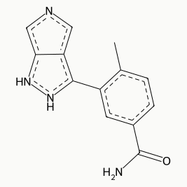 Cc1ccc(C(N)=O)cc1-c1[nH][nH]c2cncc1-2